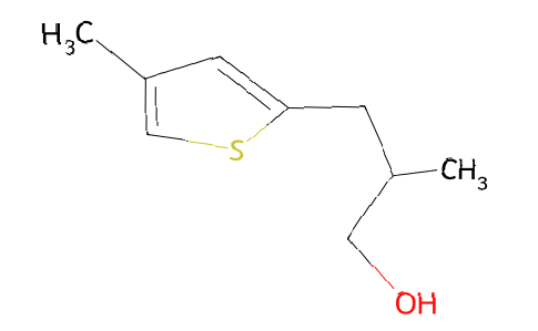 Cc1csc(CC(C)CO)c1